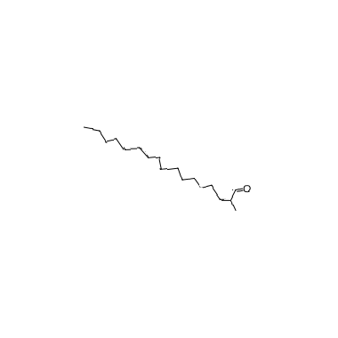 CCCCCCCCCCCCCCCC(C)[C]=O